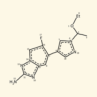 CCOC(C)n1cc(-c2cc3nc(N)nn3cc2F)cn1